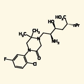 CCC[C@H](C[C@H](O)[C@@H](N)CN1CC(=O)N(c2cc(F)ccc2Cl)CC1(C)C)C(=O)O